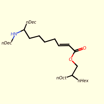 CCCCCCCCCCNC(CCCCC=CC(=O)OCC(CCCCCC)CCCCCCCC)CCCCCCCCCC